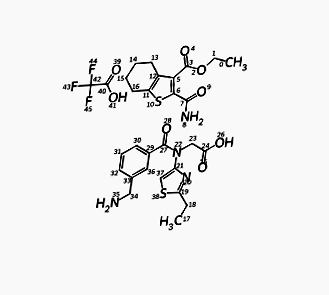 CCOC(=O)c1c(C(N)=O)sc2c1CCCC2.CCc1nc(N(CC(=O)O)C(=O)c2cccc(CN)c2)cs1.O=C(O)C(F)(F)F